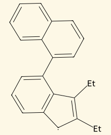 CCC1=C(CC)c2c(cccc2-c2cccc3ccccc23)[CH]1